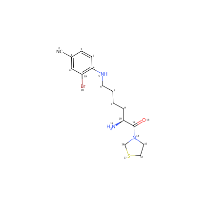 N#Cc1ccc(NCCCC[C@H](N)C(=O)N2CCSC2)c(Br)c1